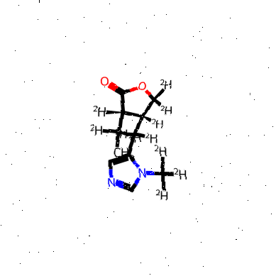 [2H]C([2H])([2H])n1cncc1C([2H])([2H])[C@@]1([2H])C([2H])([2H])OC(=O)[C@@]1([2H])C([2H])([2H])C